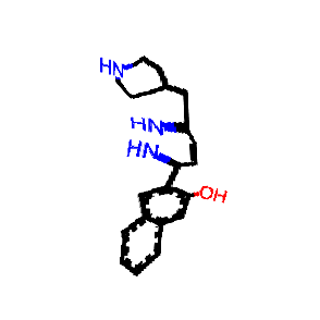 N=C(/C=C\C(=N)c1cc2ccccc2cc1O)CC1CCNCC1